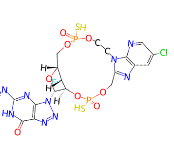 Nc1nc2c(nnn2[C@@H]2O[C@@H]3COP(=O)(S)OCCn4c(nc5cc(Cl)cnc54)COP(=O)(S)O[C@@H]2[C@@H]3F)c(=O)[nH]1